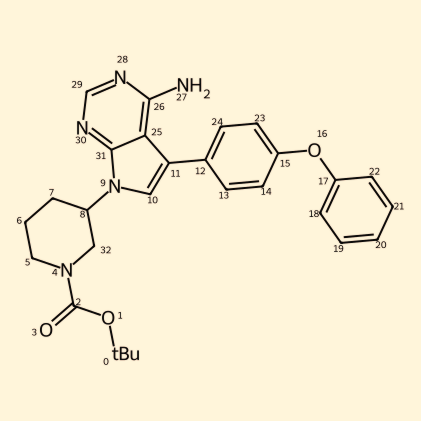 CC(C)(C)OC(=O)N1CCCC(n2cc(-c3ccc(Oc4ccccc4)cc3)c3c(N)ncnc32)C1